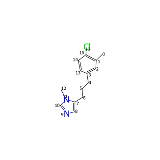 Cc1cc(CCCc2cncn2C)ccc1Cl